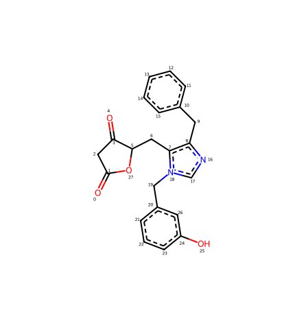 O=C1CC(=O)C(Cc2c(Cc3ccccc3)ncn2Cc2cccc(O)c2)O1